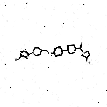 CC1CCN(C(=O)C2CC=C(c3ccc(OCC4CCN(c5nc(C(C)C)no5)CC4)cc3)CC2)C1